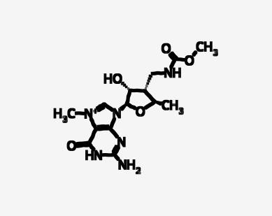 COC(=O)NC[C@H]1[C@@H](O)[C@H](n2c[n+](C)c3c(=O)[nH]c(N)nc32)O[C@@H]1C